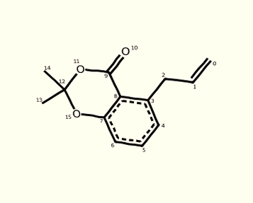 C=CCc1cccc2c1C(=O)OC(C)(C)O2